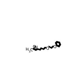 Cc1cc(CCCCOCCCOc2ccccc2)no1